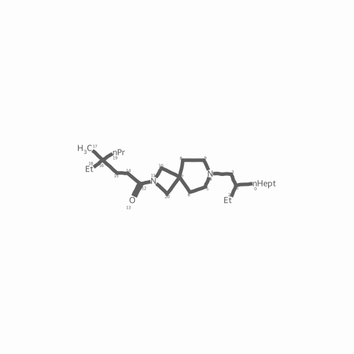 CCCCCCCC(CC)CN1CCC2(CC1)CN(C(=O)CCC(C)(CC)CCC)C2